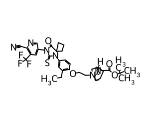 CCc1cc(N2C(=S)N(c3cnc(C#N)c(C(F)(F)F)c3)C(=O)C23CCC3)ccc1OCCN1C[C@@H]2CCC1CN2C(=O)OC(C)(C)C